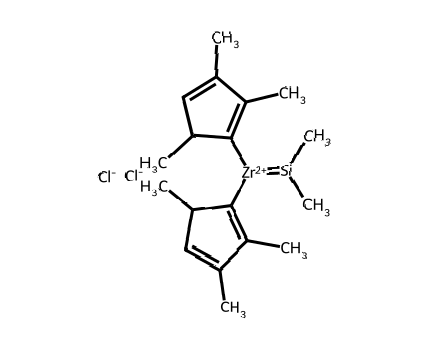 CC1=CC(C)[C]([Zr+2]([C]2=C(C)C(C)=CC2C)=[Si](C)C)=C1C.[Cl-].[Cl-]